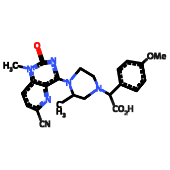 COc1ccc(C(C(=O)O)N2CCN(c3nc(=O)n(C)c4ccc(C#N)nc34)C(C)C2)cc1